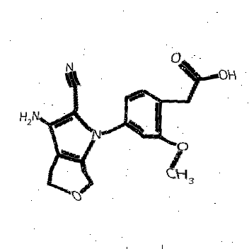 COc1cc(-n2c(C#N)c(N)c3c2COC3)ccc1CC(=O)O